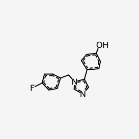 Oc1ccc(-c2cncn2Cc2ccc(F)cc2)cc1